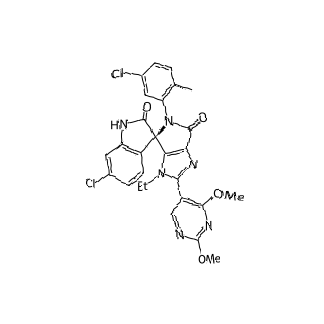 CCn1c(-c2cnc(OC)nc2OC)nc2c1[C@]1(C(=O)Nc3cc(Cl)ccc31)N(c1cc(Cl)ccc1C)C2=O